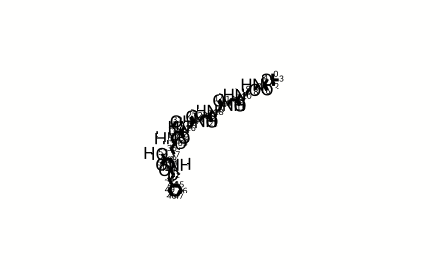 CC(C)(C)OC(=O)NOCCNC(=O)CNC(=O)CNC(=O)CNC(=O)CNC(=O)[C@H](CO)NC(=O)CC[C@H](NC(=O)OCc1ccccc1)C(=O)O